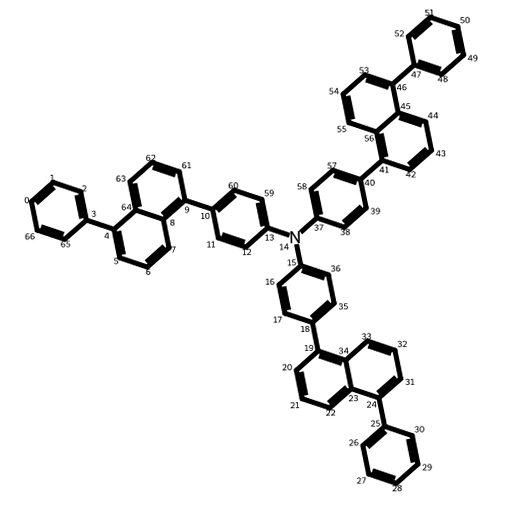 c1ccc(-c2cccc3c(-c4ccc(N(c5ccc(-c6cccc7c(-c8ccccc8)cccc67)cc5)c5ccc(-c6cccc7c(-c8ccccc8)cccc67)cc5)cc4)cccc23)cc1